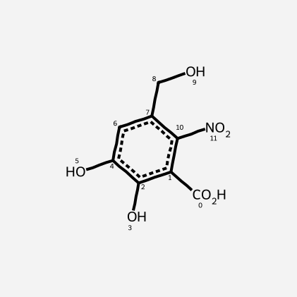 O=C(O)c1c(O)c(O)cc(CO)c1[N+](=O)[O-]